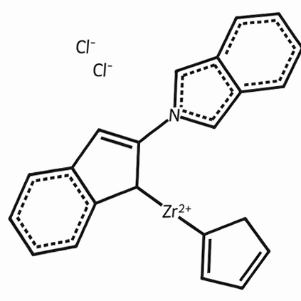 C1=CC[C]([Zr+2][CH]2C(n3cc4ccccc4c3)=Cc3ccccc32)=C1.[Cl-].[Cl-]